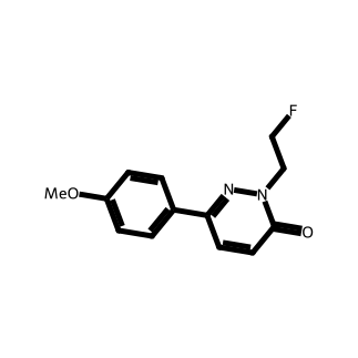 COc1ccc(-c2ccc(=O)n(CCF)n2)cc1